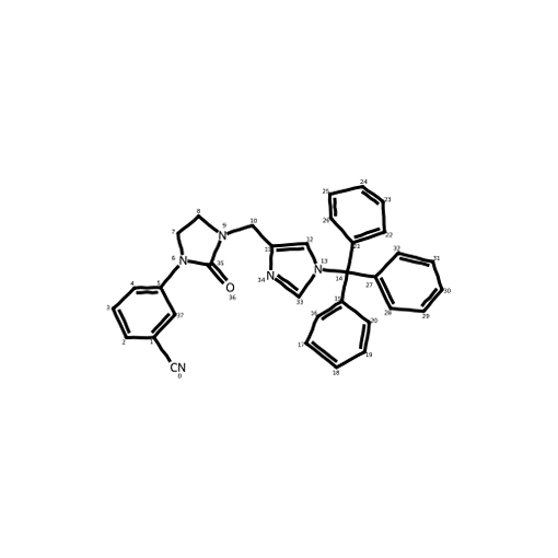 N#Cc1cccc(N2CCN(Cc3cn(C(c4ccccc4)(c4ccccc4)c4ccccc4)cn3)C2=O)c1